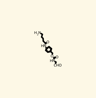 NCCCCC(=O)Nc1ccc(COC(=O)NCC=O)cc1